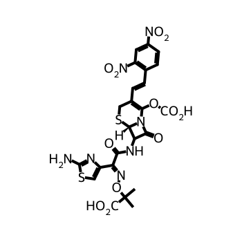 CC(C)(ON=C(C(=O)NC1C(=O)N2C(OC(=O)O)=C(C=Cc3ccc([N+](=O)[O-])cc3[N+](=O)[O-])CS[C@@H]12)c1csc(N)n1)C(=O)O